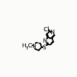 CN1CCC(Sc2ccc3cnc(Cl)cc3n2)CC1